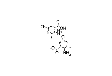 COC(=O)c1cc(Cl)nc(C)c1N.Cc1nc(Cl)cc(C(=O)O)c1N